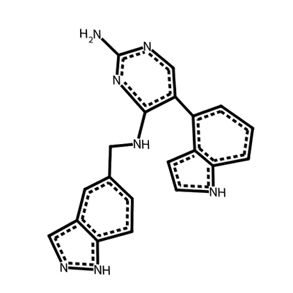 Nc1ncc(-c2cccc3[nH]ccc23)c(NCc2ccc3[nH]ncc3c2)n1